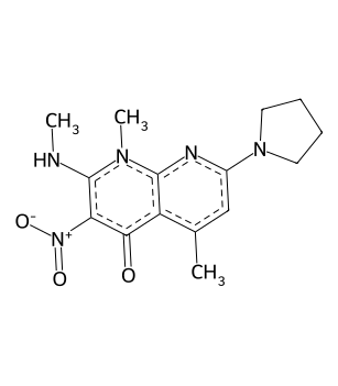 CNc1c([N+](=O)[O-])c(=O)c2c(C)cc(N3CCCC3)nc2n1C